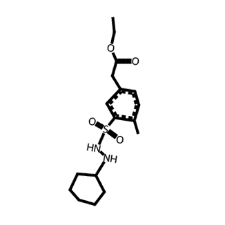 CCOC(=O)Cc1ccc(C)c(S(=O)(=O)NNC2CCCCC2)c1